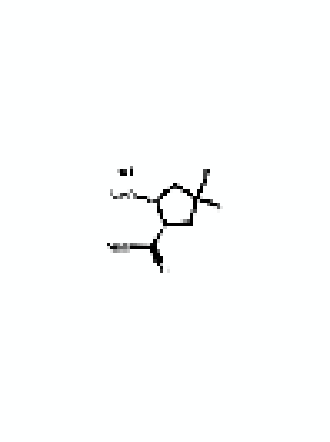 CNC(=O)[C@@H]1CC(F)(F)CN1OC.Cl